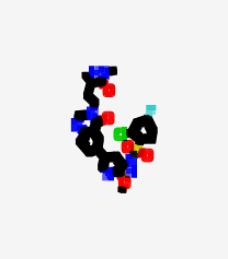 CNC(=O)[C@H](C)CCn1cnc2ccc(-c3cnc(OC)c(NS(=O)(=O)c4ccc(F)cc4Cl)c3)cc2c1=O